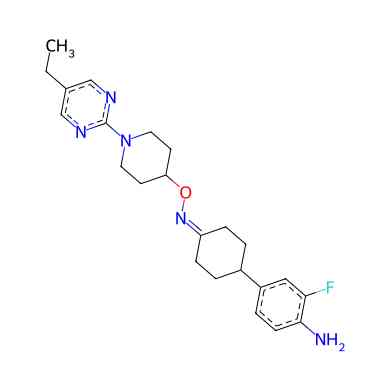 CCc1cnc(N2CCC(ON=C3CCC(c4ccc(N)c(F)c4)CC3)CC2)nc1